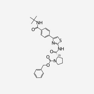 CC(C)(C)NC(=O)c1ccc(-c2csc(NC(=O)[C@@H]3CCCN3C(=O)OCc3ccccc3)n2)cc1